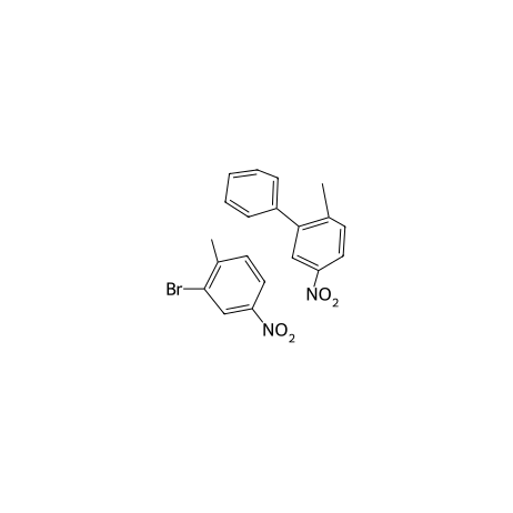 Cc1ccc([N+](=O)[O-])cc1-c1ccccc1.Cc1ccc([N+](=O)[O-])cc1Br